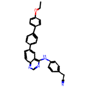 CCOc1ccc(-c2ccc(-c3ccc4ncnc(Nc5ccc(CC#N)cc5)c4c3)cc2)cc1